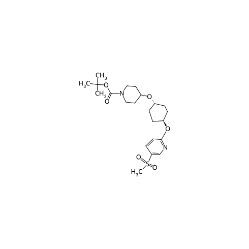 CC(C)(C)OC(=O)N1CCC(O[C@H]2CC[C@H](Oc3ccc(S(C)(=O)=O)cn3)CC2)CC1